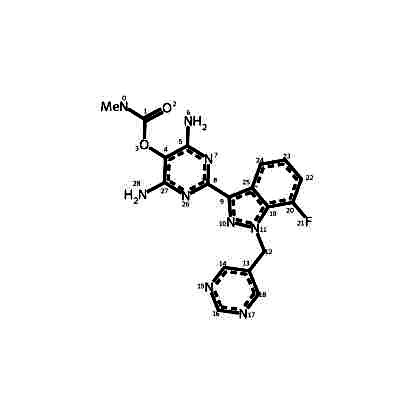 CNC(=O)Oc1c(N)nc(-c2nn(Cc3cncnc3)c3c(F)cccc23)nc1N